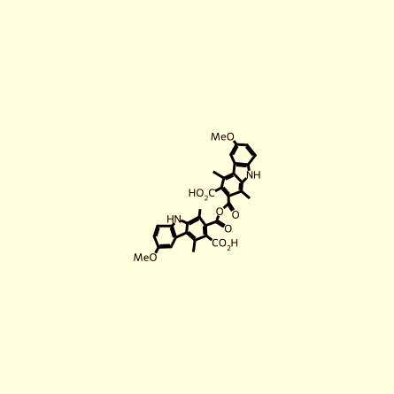 COc1ccc2[nH]c3c(C)c(C(=O)OC(=O)c4c(C(=O)O)c(C)c5c([nH]c6ccc(OC)cc65)c4C)c(C(=O)O)c(C)c3c2c1